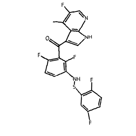 Cc1c(F)cnc2[nH]cc(C(=O)c3c(F)ccc(NSc4cc(F)ccc4F)c3F)c12